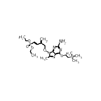 C=C(C=CP(=O)(OCC)OCC)COn1c(C)nc2c(OCC[Si](C)(C)C)nc(N)nc21